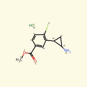 COC(=O)c1ccc(F)c(C2CC2N)c1.Cl